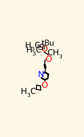 CC(CO[Si](C)(C)C(C)(C)C)OCC#Cc1ccc(O[C@H]2C[C@H](C)C2)cn1